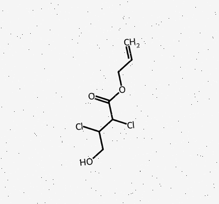 C=CCOC(=O)C(Cl)C(Cl)CO